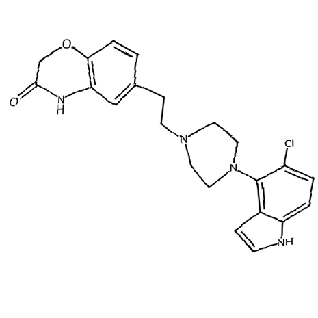 O=C1COc2ccc(CCN3CCN(c4c(Cl)ccc5[nH]ccc45)CC3)cc2N1